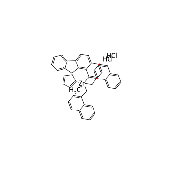 Cl.Cl.[CH2]=[Zr]([CH2]c1cccc2ccccc12)([CH2]c1cccc2ccccc12)([C]1=CC=CC1)[c]1cccc2ccc3c(c12)Cc1ccccc1-3